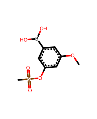 COc1cc(OS(C)(=O)=O)cc(B(O)O)c1